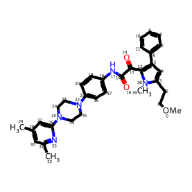 COCCc1cc(-c2ccccc2)c(C(=O)C(=O)Nc2ccc(N3CCN(c4cc(C)cc(C)n4)CC3)cc2)n1C